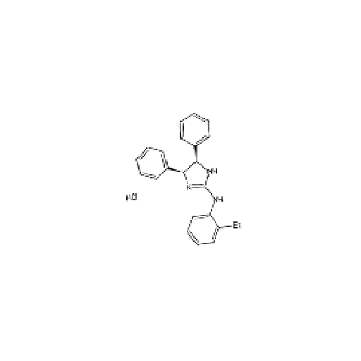 CCc1ccccc1NC1=N[C@@H](c2ccccc2)[C@@H](c2ccccc2)N1.Cl